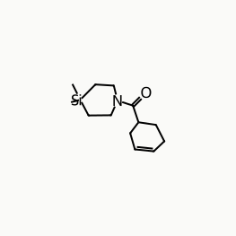 C[Si]1(C)CCN(C(=O)C2CC=CCC2)CC1